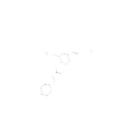 COc1cc(C=CC(=O)O)ccc1OC(=O)C=Cc1ccc(O)cc1